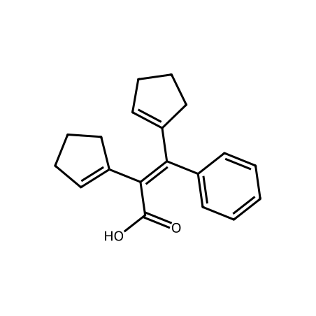 O=C(O)C(C1=CCCC1)=C(C1=CCCC1)c1ccccc1